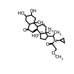 COCC(=O)N(C1CC1)C(C)C1CC[C@@]2(O)C3=CC(=O)C4CC(O)C(O)CC4(C)C3CCC12C